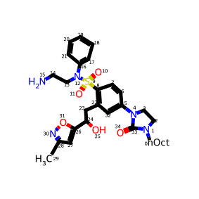 CCCCCCCCN1CCN(c2ccc(S(=O)(=O)N(CCN)c3ccccc3)c(CC(O)c3cc(C)no3)c2)C1=O